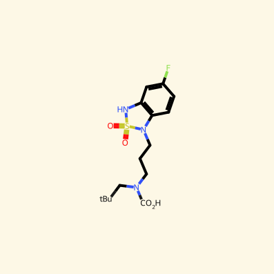 CC(C)(C)CN(CCCN1c2ccc(F)cc2NS1(=O)=O)C(=O)O